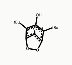 CC(C)(C)c1c(O)c(C(C)(C)C)c2c(C(=O)O)c1OO2